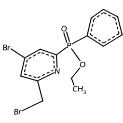 CCOP(=O)(c1ccccc1)c1cc(Br)cc(CBr)n1